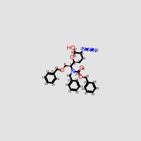 [N-]=[N+]=NC1CC[C@@H]([C@H](COCc2ccccc2)N(Cc2ccccc2)C(=O)OCc2ccccc2)OC1O